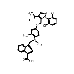 Cc1cc(OCc2c(C(C)C)cnn2-c2c(Cl)cccc2Cl)ccc1N(C)Cc1ccc(C(=O)O)c2ccccc12